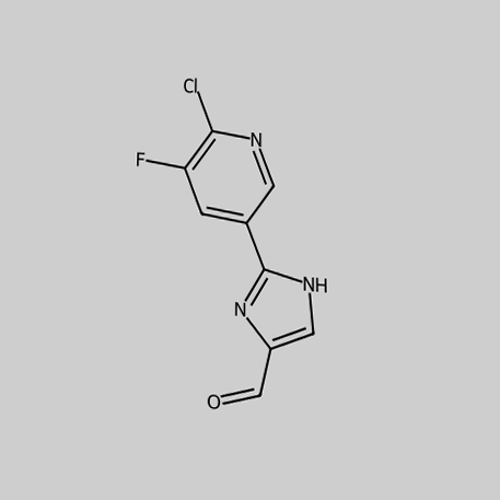 O=Cc1c[nH]c(-c2cnc(Cl)c(F)c2)n1